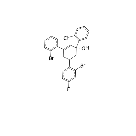 OC1(c2ccccc2Cl)C=C(c2ccccc2Br)CC(c2ccc(F)cc2Br)C1